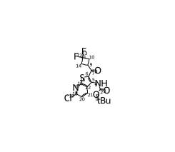 CC(C)(C)OC(=O)Nc1c(C(=O)C2CC(F)(F)C2)sc2nc(Cl)ccc12